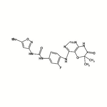 CC1(C)Oc2c(ncnc2Nc2ccc(NC(=O)Nc3cc(C(C)(C)C)on3)cc2F)NC1=O